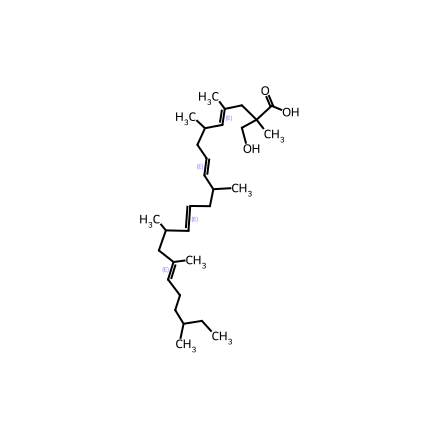 CCC(C)CC/C=C(\C)CC(C)/C=C/CC(C)/C=C/CC(C)/C=C(\C)CC(C)(CO)C(=O)O